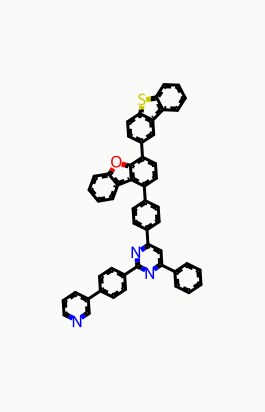 c1ccc(-c2cc(-c3ccc(-c4ccc(-c5ccc6sc7ccccc7c6c5)c5oc6ccccc6c45)cc3)nc(-c3ccc(-c4cccnc4)cc3)n2)cc1